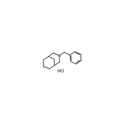 Cl.c1ccc(CN2CC3CSCC(C3)C2)cc1